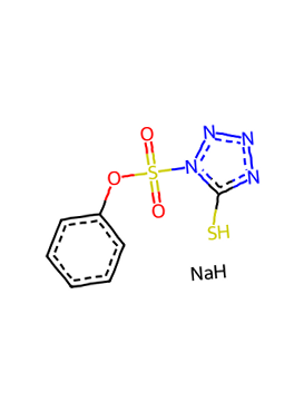 O=S(=O)(Oc1ccccc1)n1nnnc1S.[NaH]